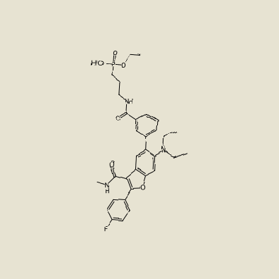 CCOP(=O)(O)CCCNC(=O)c1cccc(-c2cc3c(C(=O)NC)c(-c4ccc(F)cc4)oc3cc2N(CC)CC)c1